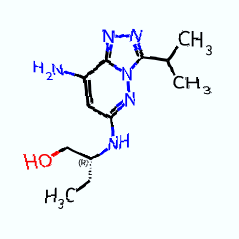 CC[C@H](CO)Nc1cc(N)c2nnc(C(C)C)n2n1